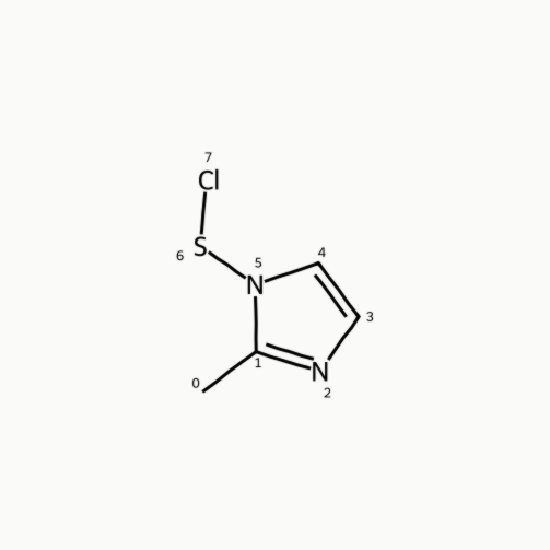 Cc1nccn1SCl